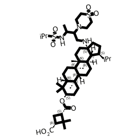 CC(NS(=O)(=O)C(C)C)C(CN[C@]12CC[C@@H](C(C)C)[C@@H]1[C@H]1CC[C@@H]3[C@@]4(C)CC[C@H](OC(=O)[C@H]5C[C@@H](C(=O)O)C5(C)C)C(C)(C)[C@@H]4CC[C@@]3(C)[C@]1(C)CC2)N1CCS(=O)(=O)CC1